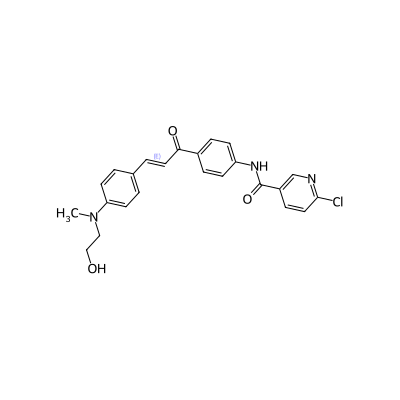 CN(CCO)c1ccc(/C=C/C(=O)c2ccc(NC(=O)c3ccc(Cl)nc3)cc2)cc1